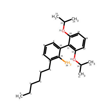 CCCCCCc1cccc(-c2c(OC(C)C)cccc2OC(C)C)c1P